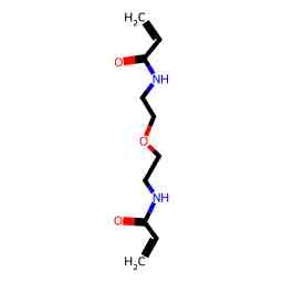 C=CC(=O)NCCOCCNC(=O)C=C